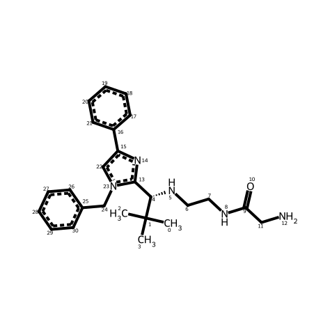 CC(C)(C)[C@@H](NCCNC(=O)CN)c1nc(-c2ccccc2)cn1Cc1ccccc1